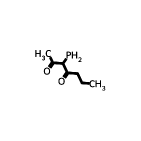 CCCC(=O)C(P)C(C)=O